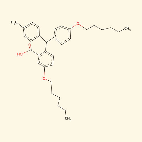 CCCCCCOc1ccc(C(c2ccc(C)cc2)c2ccc(OCCCCCC)cc2C(=O)O)cc1